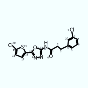 O=C(CCc1cccc(Cl)c1)Nc1nnc(-c2ccc(Cl)s2)o1